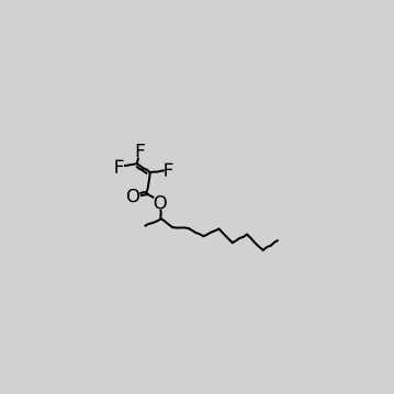 CCCCCCCCC(C)OC(=O)C(F)=C(F)F